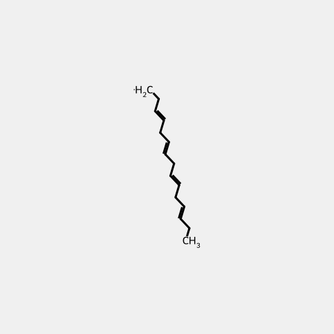 [CH2]CC=CCC=CCC=CCC=CCC